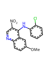 COc1ccc2ncc([N+](=O)[O-])c(Nc3ccccc3Cl)c2c1